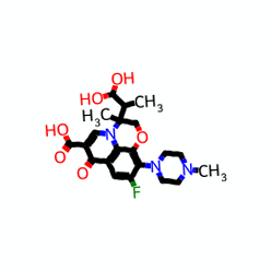 CC(C(O)O)C1(C)COc2c(N3CCN(C)CC3)c(F)cc3c(=O)c(C(=O)O)cn1c23